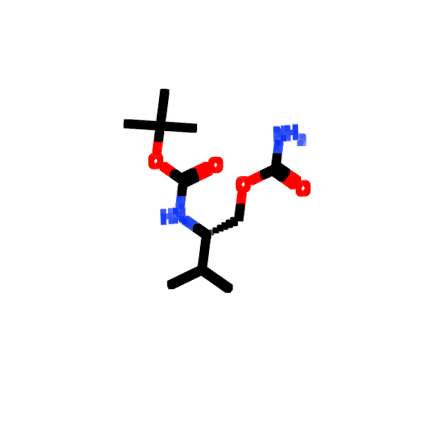 CC(C)[C@@H](COC(N)=O)NC(=O)OC(C)(C)C